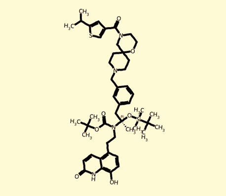 CC(C)c1cc(C(=O)N2CCOC3(CCN(Cc4cccc(C[C@@](C)(O[Si](C)(C)C(C)(C)C)N(CCc5ccc(O)c6[nH]c(=O)ccc56)C(=O)OC(C)(C)C)c4)CC3)C2)cs1